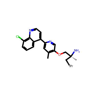 Cc1cc(-c2ccnc3c(Cl)cccc23)ncc1OC[C@@](C)(N)CC(C)C